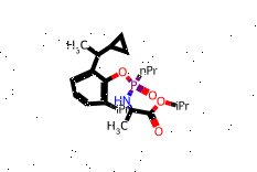 CCCP(=O)(NC(C)C(=O)OC(C)C)Oc1c(C(C)C)cccc1C(C)C1CC1